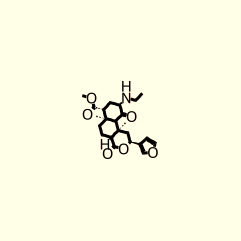 CCN[C@@H]1C[C@@H](C(=O)OC)[C@]2(C)CC[C@H]3C(=O)O[C@H](c4ccoc4)C[C@]3(C)C2C1=O